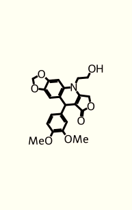 COc1ccc(C2C3=C(COC3=O)N(CCO)c3cc4c(cc32)OCO4)cc1OC